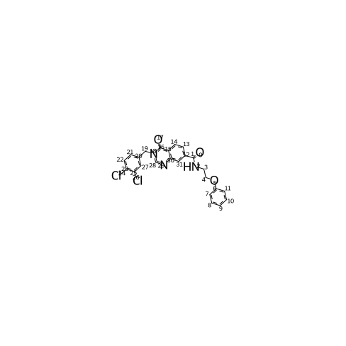 O=C(NCCOc1ccccc1)c1ccc2c(=O)n(Cc3ccc(Cl)c(Cl)c3)cnc2c1